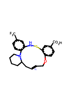 O=C(O)c1ccc2c(c1)SNc1cc(C(F)(F)F)ccc1N1CCCCC1C/C=C/CO2